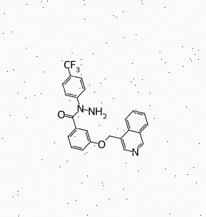 NN(C(=O)c1cccc(OCc2cncc3ccccc23)c1)c1ccc(C(F)(F)F)cc1